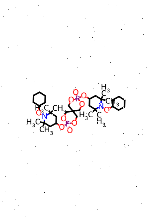 CC1(C)CC(OP2(=O)OCC3(CO2)COP(=O)(OC2CC(C)(C)N(OC4CCCCC4)C(C)(C)C2)OC3)CC(C)(C)N1OC1CCCCC1